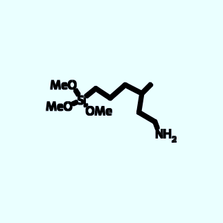 CO[Si](CCCC(C)CCN)(OC)OC